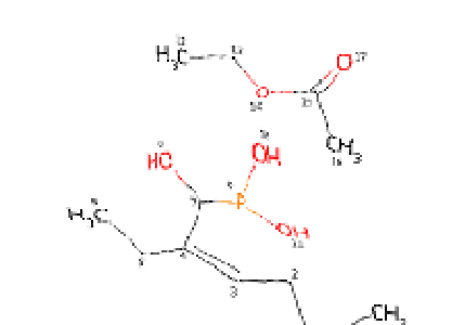 CCCC=C(CC)C(O)P(O)O.CCOC(C)=O